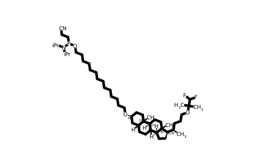 CC(C)N(C(C)C)P(CCC#N)OCCCCCCCCCCCCCCO[C@@H]1CC[C@@]2(C)[C@H](CC[C@@H]3[C@@H]2CC[C@]2(C)[C@@H]([C@H](C)CCCOC(C)(C)C(F)F)CC[C@@H]32)C1